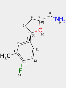 Cc1cc([C@H]2CC[C@H](CN)O2)ccc1F